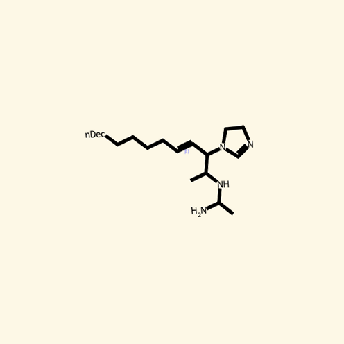 CCCCCCCCCCCCCC/C=C/C(C(C)NC(C)N)N1C=NCC1